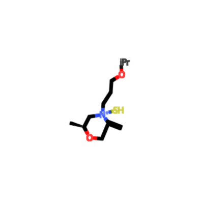 C=C1CO[C@@H](C)C[N+]1(S)CCCOC(C)C